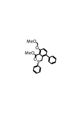 COCOc1ccc(-c2ccccc2)c(CSc2ccccc2)c1C(=O)OC